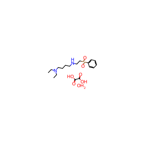 CCN(CC)CCCCNCCS(=O)(=O)c1ccccc1.O.O=C(O)C(=O)O